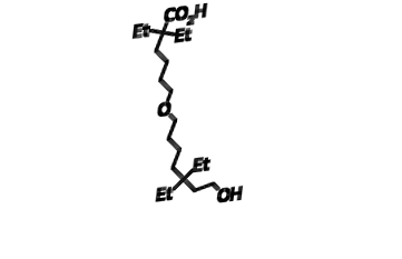 CCC(CC)(CCO)CCCCOCCCCC(CC)(CC)C(=O)O